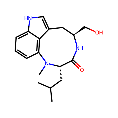 CC(C)C[C@H]1C(=O)N[C@H](CO)Cc2c[nH]c3cccc(c23)N1C